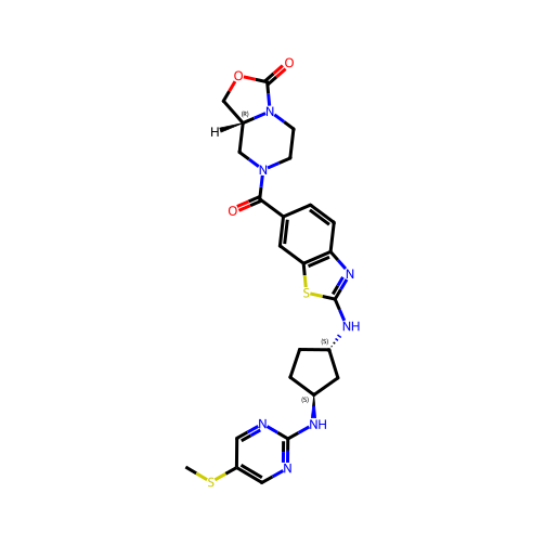 CSc1cnc(N[C@H]2CC[C@H](Nc3nc4ccc(C(=O)N5CCN6C(=O)OC[C@H]6C5)cc4s3)C2)nc1